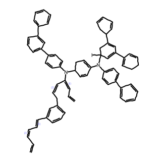 C=C/C=C\C=C\c1cccc(C/C=C\C(=C/C=C)N(c2ccc(-c3cccc(-c4ccccc4)c3)cc2)C2C=CC(N(c3ccc(-c4ccccc4)cc3)C3(I)C=C(C4=CCCC=C4)C=C(C4C=CC=CC4)C3)=CC2)c1